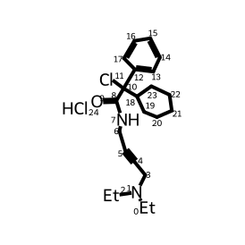 CCN(CC)CC#CCNC(=O)C(Cl)(c1ccccc1)C1CCCCC1.Cl